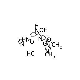 C=CC(N1CCN(C)CC1)S(=O)(=O)c1ccc(-c2c(O)[nH]c3ccc(C(=O)NCc4ccccn4)cc23)nc1.Cl